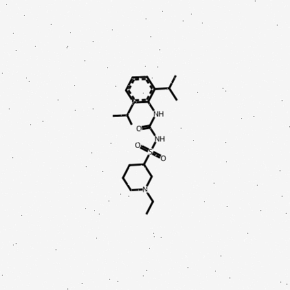 CCN1CCCC(S(=O)(=O)NC(=O)Nc2c(C(C)C)cccc2C(C)C)C1